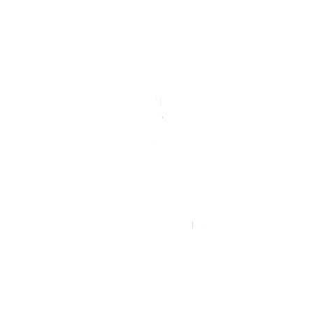 Cc1cc(C)c(C)c(C(C)(C)[C]2([Ti+3])C=CC=C2)c1.[Cl-].[Cl-].[Cl-]